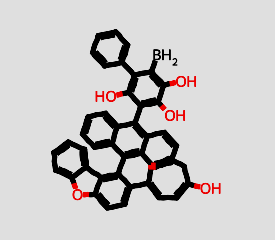 Bc1c(O)c(O)c(-c2c3ccccc3c(-c3c(C4=CC=C(O)CC=C4)ccc4oc5ccccc5c34)c3ccccc23)c(O)c1-c1ccccc1